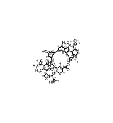 CCn1c(-c2cccnc2[C@H](C)OC)c2c3cc(ccc31)-c1cc(O)cc(c1)C[C@H](NC(=O)[C@H](C(C)C)N(C)C(=O)[C@H]1CCN1C(=O)[C@@H]1CN1)C(=O)N1CCC[C@H](N1)C(=O)OCC(C)(C)C2